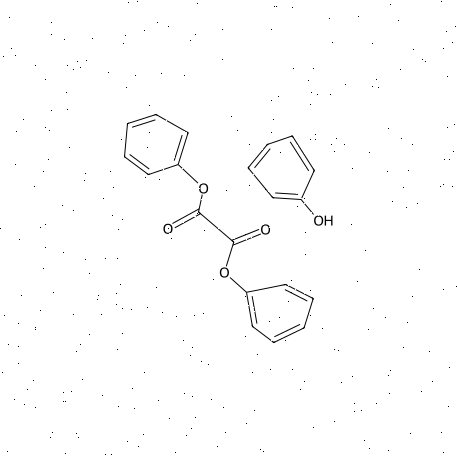 O=C(Oc1ccccc1)C(=O)Oc1ccccc1.Oc1ccccc1